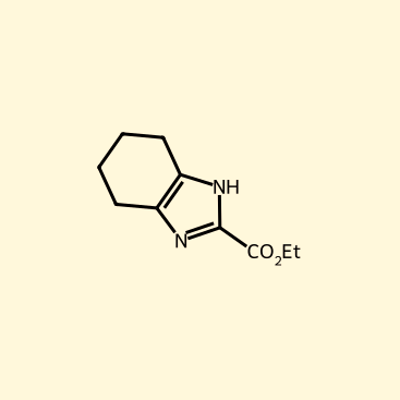 CCOC(=O)c1nc2c([nH]1)CCCC2